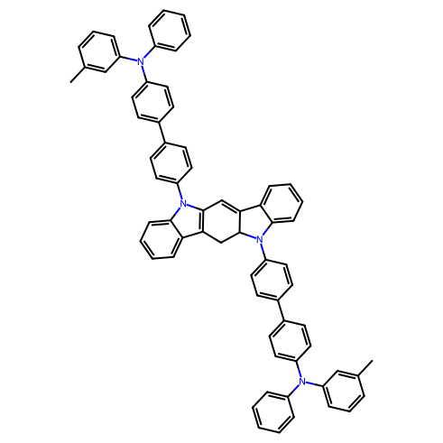 Cc1cccc(N(c2ccccc2)c2ccc(-c3ccc(N4c5ccccc5C5=Cc6c(c7ccccc7n6-c6ccc(-c7ccc(N(c8ccccc8)c8cccc(C)c8)cc7)cc6)CC54)cc3)cc2)c1